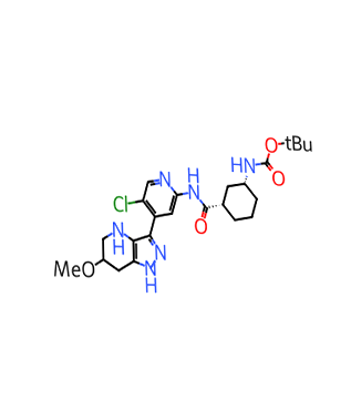 COC1CNc2c(-c3cc(NC(=O)[C@H]4CCC[C@@H](NC(=O)OC(C)(C)C)C4)ncc3Cl)n[nH]c2C1